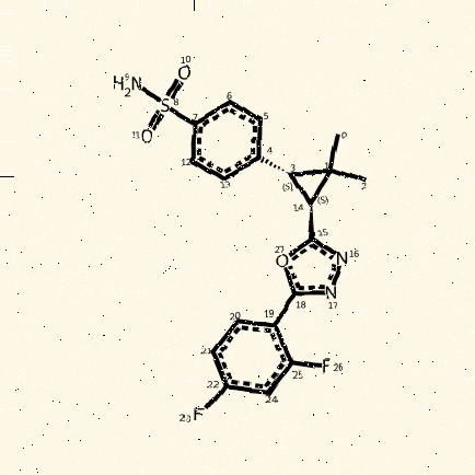 CC1(C)[C@@H](c2ccc(S(N)(=O)=O)cc2)[C@@H]1c1nnc(-c2ccc(F)cc2F)o1